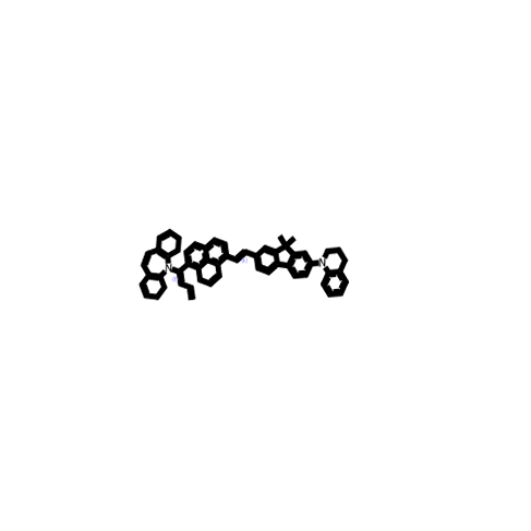 C=C/C=C(\c1ccc2ccc(/C=C/C3=C=C=C4C(=C3)C(C)(C)c3cc(N5CCCc6ccccc65)ccc34)c3c2c1CC=C3)N1C2=C(C=CCC2)C=CC2=C1CCC=C2